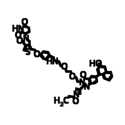 C=CC(=O)N1CC(c2nc3ccc(-c4cc(O)cc5ccccc45)cc3c(=O)n2CCOCCOCCNCc2ccc(OCc3scc4c3CN(C3CCC(=O)NC3=O)C4=O)cc2)C1